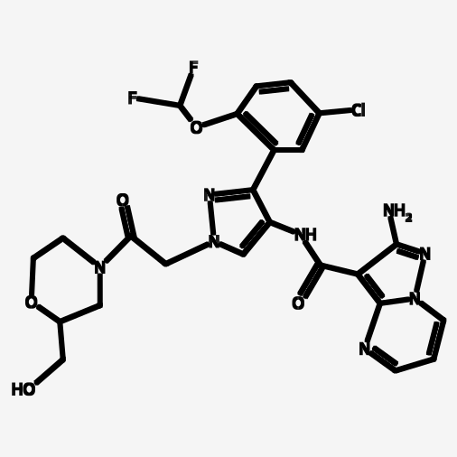 Nc1nn2cccnc2c1C(=O)Nc1cn(CC(=O)N2CCOC(CO)C2)nc1-c1cc(Cl)ccc1OC(F)F